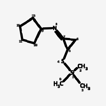 C[Si](C)(C)SC1CC1=NC1CCCC1